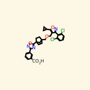 O=C(O)c1cccc(-c2noc(C34CCC(COCc5c(-c6c(Cl)cccc6Cl)noc5C5CC5)(CC3)C4)n2)c1